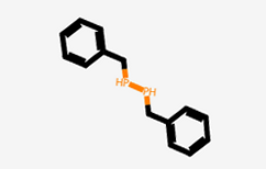 c1ccc(CPPCc2ccccc2)cc1